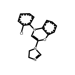 Clc1ccccc1N1C=C(N2C=NCC2)Oc2ccccc21